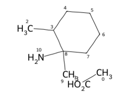 CC(=O)O.CC1CCCCC1(C)N